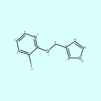 Ic1cccnc1OCc1ccoc1